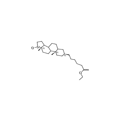 C=C(CCCCC[C@H]1CC[C@@]2(C)C(CCC3C2CC[C@@]2(C)C3CC[S+]2[O-])C1)OCC